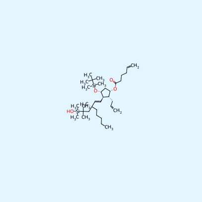 C=CCCCC(=O)O[C@H]1C[C@@H](O[Si](C)(C)C(C)(C)C)[C@H](/C=C/[C@@](C)(CCCCC)CC(C)(C)[Si](C)(C)O)[C@H]1CC=C